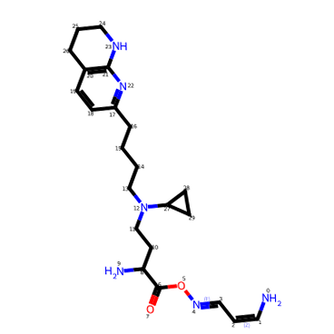 N/C=C\C=N\OC(=O)C(N)CCN(CCCCc1ccc2c(n1)NCCC2)C1CC1